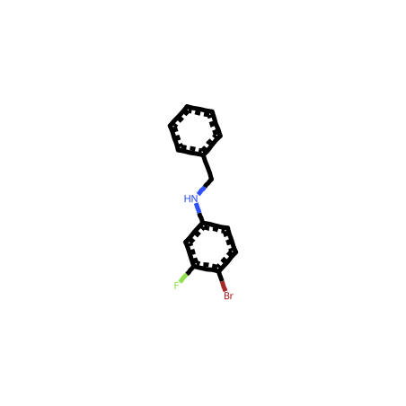 Fc1cc(NCc2ccccc2)ccc1Br